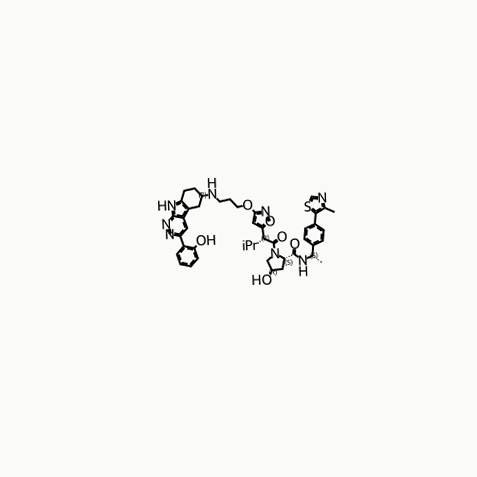 Cc1ncsc1-c1ccc([C@H](C)NC(=O)[C@@H]2C[C@@H](O)CN2C(=O)[C@@H](c2cc(OCCCN[C@@H]3CCc4[nH]c5nnc(-c6ccccc6O)cc5c4C3)no2)C(C)C)cc1